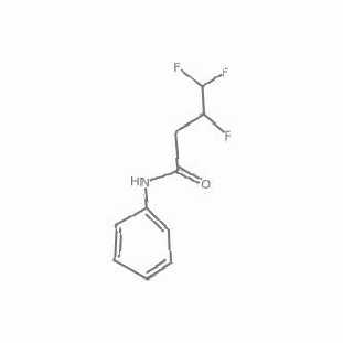 O=C(CC(F)C(F)F)Nc1ccccc1